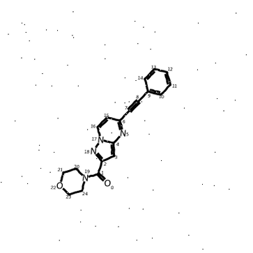 O=C(c1cc2nc(C#Cc3ccccc3)ccn2n1)N1CCOCC1